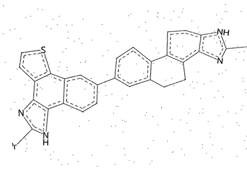 CC(C)c1nc2c3c(ccc2[nH]1)-c1ccc(-c2ccc4c(c2)c2sccc2c2nc(C(C)C)[nH]c42)cc1CC3